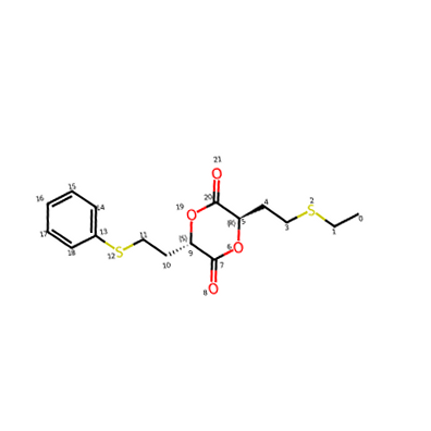 CCSCC[C@H]1OC(=O)[C@H](CCSc2ccccc2)OC1=O